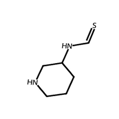 S=CNC1CCCNC1